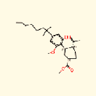 C=C(C)[C@@H]1CC[C@@H](C(=O)OC)C[C@H]1c1c(O)cc(C(C)(C)CCCCCC)cc1OC